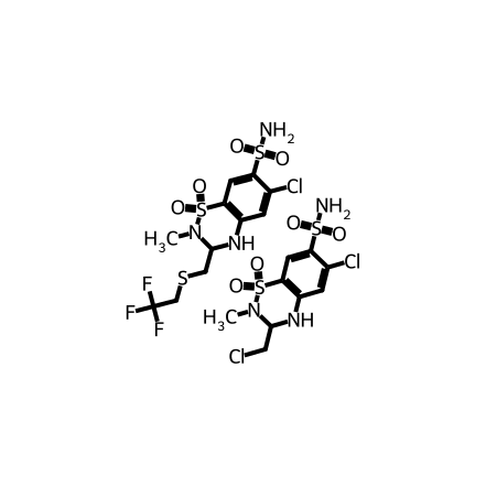 CN1C(CCl)Nc2cc(Cl)c(S(N)(=O)=O)cc2S1(=O)=O.CN1C(CSCC(F)(F)F)Nc2cc(Cl)c(S(N)(=O)=O)cc2S1(=O)=O